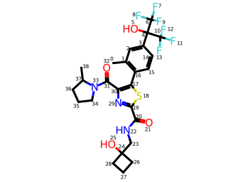 Cc1cc(C(O)(C(F)(F)F)C(F)(F)F)ccc1-c1sc(C(=O)NCC2(O)CCC2)nc1C(=O)N1CCCC1C